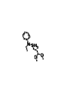 CCN([SiH2]CCC(OC)OC)c1ccccc1